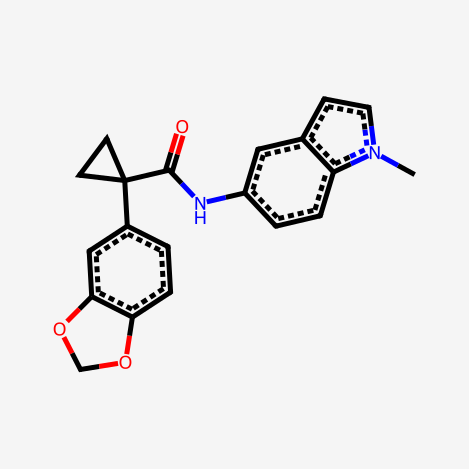 Cn1ccc2cc(NC(=O)C3(c4ccc5c(c4)OCO5)CC3)ccc21